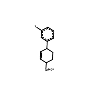 CCCCCCCC1C=CC(c2cccc(F)c2)CC1